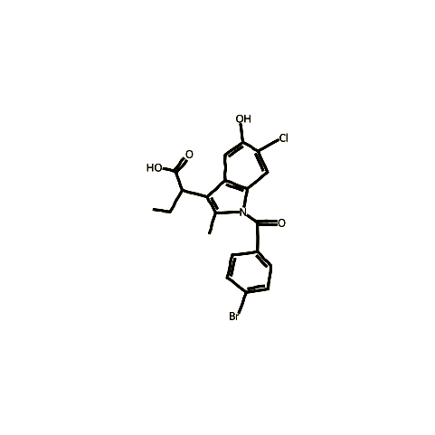 CCC(C(=O)O)c1c(C)n(C(=O)c2ccc(Br)cc2)c2cc(Cl)c(O)cc12